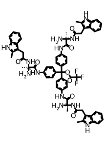 Cc1[nH]c2ccccc2c1CC(=O)N[C@](C)(N)C(=O)Nc1ccc(C(OC(=O)C(F)(F)F)(c2ccc(NC(=O)[C@@](C)(N)NC(=O)Cc3c(C)[nH]c4ccccc34)cc2)c2ccc(NC(=O)[C@@](C)(N)NC(=O)Cc3c(C)[nH]c4ccccc34)cc2)cc1